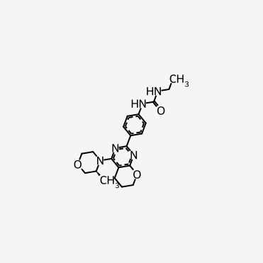 CCNC(=O)Nc1ccc(-c2nc3c(c(N4CCOC[C@@H]4C)n2)CCCO3)cc1